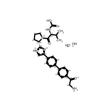 CC(C)[C@H](NC(=O)O)C(=O)N1CCC[C@H]1c1nc(-c2ccc(-c3ccc(C(=O)CN)cc3)cc2)c[nH]1.Cl.Cl